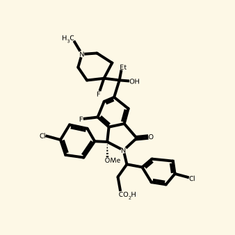 CCC(O)(c1cc(F)c2c(c1)C(=O)N(C(CC(=O)O)c1ccc(Cl)cc1)[C@@]2(OC)c1ccc(Cl)cc1)C1(F)CCN(C)CC1